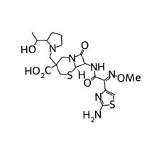 CON=C(C(=O)NC1C(=O)N2CC(CN3CCCC3C(C)O)(C(=O)O)CS[C@H]12)c1csc(N)n1